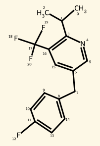 CC(C)c1ncc(Cc2ccc(F)cc2)cc1C(F)(F)F